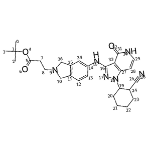 CC(C)(C)OC(=O)CCN1Cc2ccc(Nc3nn(C4CCCCC4C#N)c4cc[nH]c(=O)c34)cc2C1